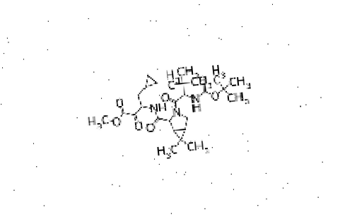 COC(=O)C(=O)C(CC1CC1)NC(=O)[C@@H]1C2C(CN1C(=O)C(NC(=O)OC(C)(C)C)C(C)(C)C)C2(C)C